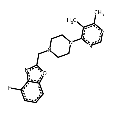 Cc1ncnc(N2CCN(Cc3nc4c(F)cccc4o3)CC2)c1C